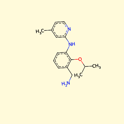 Cc1ccnc(Nc2cccc(CN)c2OC(C)C)c1